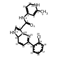 CC1=CC(NC(=O)C2=CNC3C=CC(c4ccccc4Cl)=NN23)=CCN1